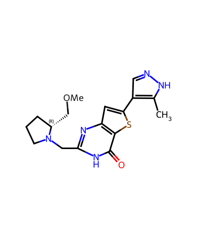 COC[C@H]1CCCN1Cc1nc2cc(-c3cn[nH]c3C)sc2c(=O)[nH]1